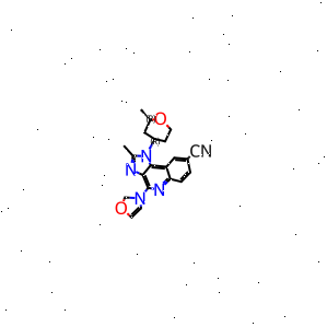 Cc1nc2c(N3C=COC3)nc3ccc(C#N)cc3c2n1[C@@H]1CCO[C@H](C)C1